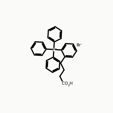 O=C(O)CCCc1ccccc1[P+](c1ccccc1)(c1ccccc1)c1ccccc1.[Br-]